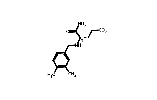 Cc1ccc(CN[C@@H](CCC(=O)O)C(N)=O)cc1C